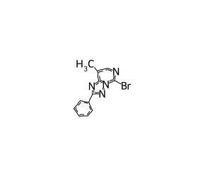 Cc1cnc(Br)n2nc(-c3ccccc3)nc12